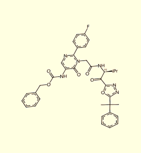 CC(C)[C@H](NC(=O)Cn1c(-c2ccc(F)cc2)ncc(NC(=O)OCc2ccccc2)c1=O)C(=O)c1nnc(C(C)(C)c2ccccc2)o1